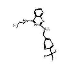 OCCNc1nc(NCc2ccc(C(F)(F)F)cc2)nc2ccccc12